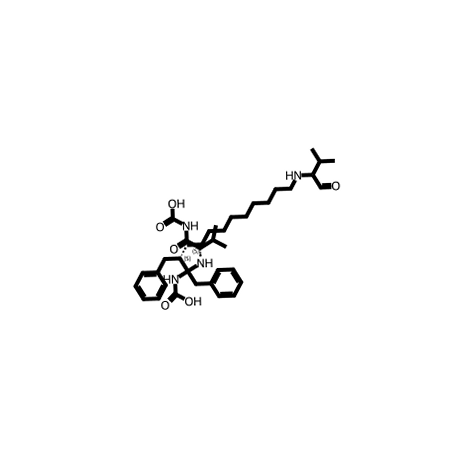 CC(C)C(C=O)NCCCCCCCCCC[C@@H](Cc1ccccc1)C(Cc1ccccc1)(NC(=O)O)N[C@H](C(=O)NC(=O)O)C(C)C